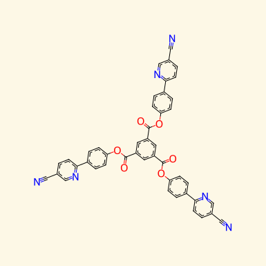 N#Cc1ccc(-c2ccc(OC(=O)c3cc(C(=O)Oc4ccc(-c5ccc(C#N)cn5)cc4)cc(C(=O)Oc4ccc(-c5ccc(C#N)cn5)cc4)c3)cc2)nc1